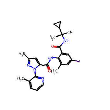 Bc1cc(C(=O)Nc2c(C)cc(I)cc2C(=O)NC(C)(C#N)C2CC2)n(-c2ncccc2C)n1